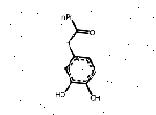 CCCC(=O)[CH]c1ccc(O)c(O)c1